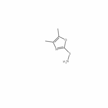 Cc1nc(SN)oc1C